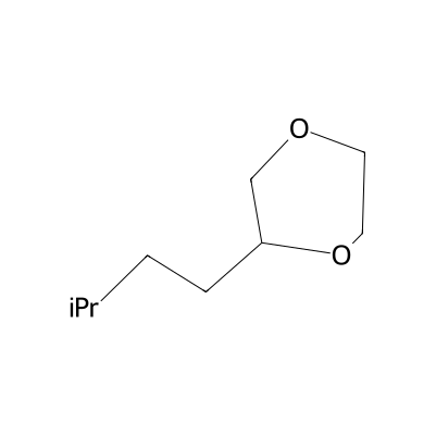 CC(C)CCC1COCCO1